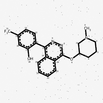 CN1CCCC(Oc2nnc(-c3ccc(C(F)(F)F)cc3O)c3ccccc23)C1